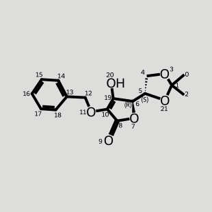 CC1(C)OC[C@@H]([C@H]2OC(=O)C(OCc3ccccc3)=C2O)O1